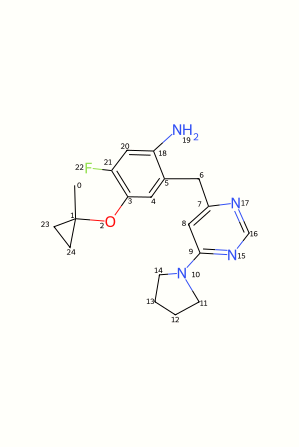 CC1(Oc2cc(Cc3cc(N4CCCC4)ncn3)c(N)cc2F)CC1